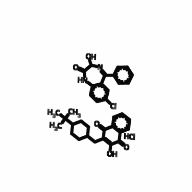 CC(C)(C)C1CCC(CC2=C(O)C(=O)c3ccccc3C2=O)CC1.Cl.O=C1Nc2ccc(Cl)cc2C(c2ccccc2)=NC1O